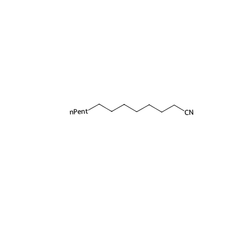 [CH2]CCCCCCCCCCCC#N